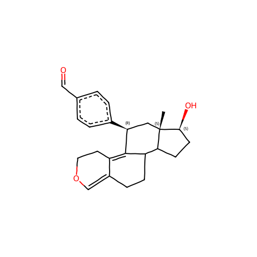 C[C@]12C[C@H](c3ccc(C=O)cc3)C3=C4CCOC=C4CCC3C1CC[C@@H]2O